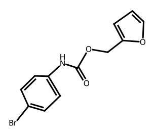 O=C(Nc1ccc(Br)cc1)OCc1ccco1